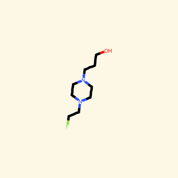 OCCCN1CCN(CCF)CC1